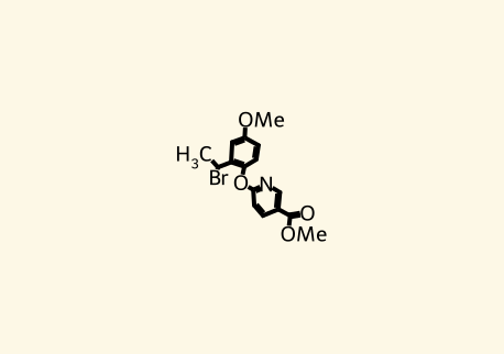 COC(=O)c1ccc(Oc2ccc(OC)cc2C(C)Br)nc1